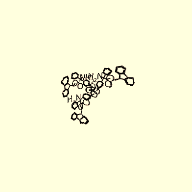 NC(C(=O)OCC1c2ccccc2-c2ccccc21)(c1ccccc1)c1ccc(OP(=O)(Oc2ccc(C(N)(C(=O)OCC3c4ccccc4-c4ccccc43)c3ccccc3)cc2)Oc2ccc(C(N)(C(=O)OCC3c4ccccc4-c4ccccc43)c3ccccc3)cc2)cc1